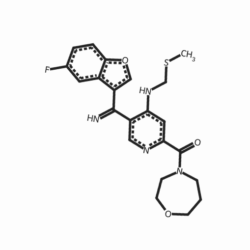 CSCNc1cc(C(=O)N2CCCOCC2)ncc1C(=N)c1coc2ccc(F)cc12